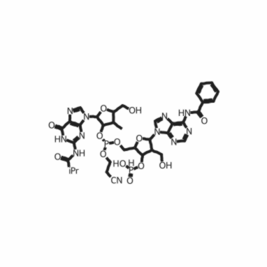 CC(C)C(=O)Nc1nc2c(ncn2C2OC(CO)C(C)C2OP(OCCC#N)OCC2OC(n3cnc4c(NC(=O)c5ccccc5)ncnc43)C(CO)C2O[PH](=O)O)c(=O)[nH]1